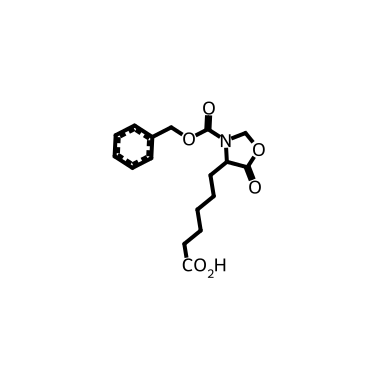 O=C(O)CCCCCC1C(=O)OCN1C(=O)OCc1ccccc1